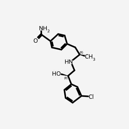 C[C@H](Cc1ccc(C(N)=O)cc1)NC[C@H](O)c1cccc(Cl)c1